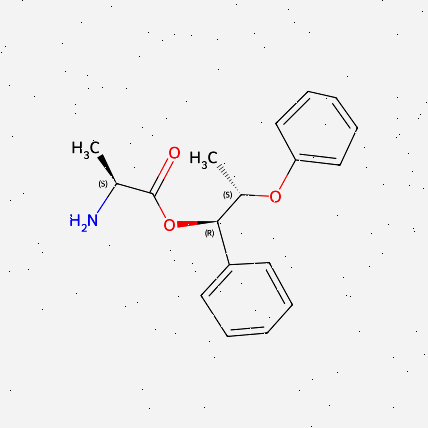 C[C@H](N)C(=O)O[C@H](c1ccccc1)[C@H](C)Oc1ccccc1